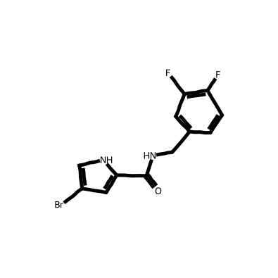 O=C(NCc1ccc(F)c(F)c1)c1cc(Br)c[nH]1